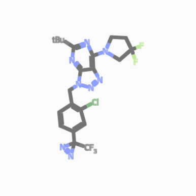 CC(C)(C)c1nc(N2CCC(F)(F)C2)c2nnn(Cc3ccc(C4(C(F)(F)F)N=N4)cc3Cl)c2n1